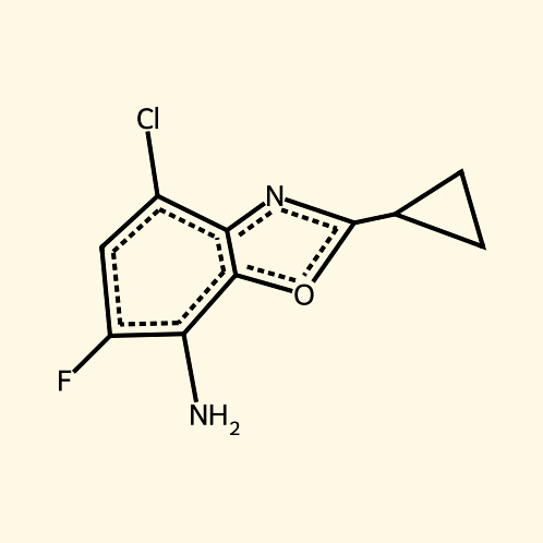 Nc1c(F)cc(Cl)c2nc(C3CC3)oc12